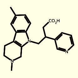 Cc1ccc2c(c1)c1c(n2CC(CC(=O)O)c2cccnc2)CN(C)CC1